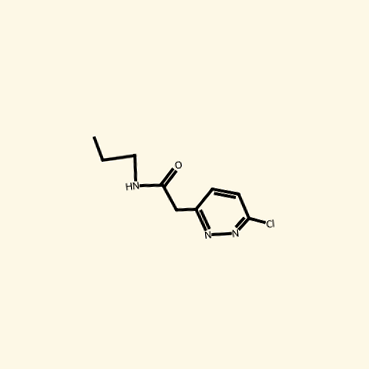 CCCNC(=O)Cc1ccc(Cl)nn1